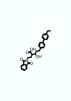 CCc1ccc(-c2ccc(CCC(O)C(CCN3C(=O)c4ccccc4C3=O)C(=O)O)cc2)cc1